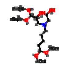 CCCCCCCCOC(CCCCN(CCO)C[C@H](O)C(OCCCCCCC)OCCCCCCC)OCCCCCCCC